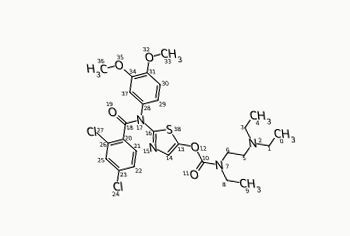 CCN(CC)CCN(CC)C(=O)Oc1cnc(N(C(=O)c2ccc(Cl)cc2Cl)c2ccc(OC)c(OC)c2)s1